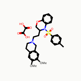 COc1cc2c(cc1OC)CN(CCC1COc3ccccc3N1S(=O)(=O)c1ccc(C)cc1)CC2.O=C(O)C(=O)O